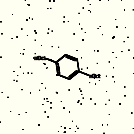 CCCCCCC[CH]c1ccc(CCCCCCCC)cc1